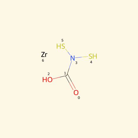 O=C(O)N(S)S.[Zr]